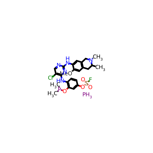 COc1cc2c(cc1Nc1ncc(Cl)c(Nc3ccc(OS(=O)(=O)F)cc3OP(C)C)n1)CN(C)C(C)C2.P